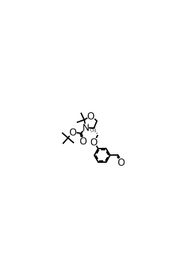 CC(C)(C)OC(=O)N1[C@@H](COc2cccc(C=O)c2)COC1(C)C